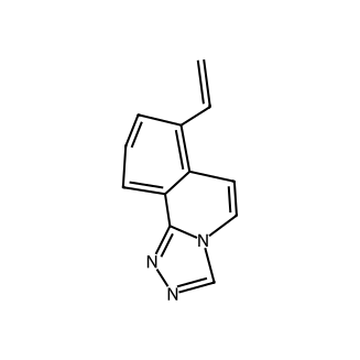 C=Cc1cccc2c1ccn1cnnc21